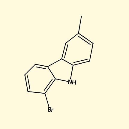 Cc1ccc2[nH]c3c(Br)cccc3c2c1